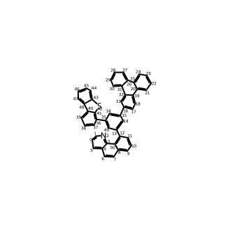 c1cnc2c(c1)ccc1cccc(-c3cc(-c4ccc5c6ccccc6c6ccccc6c5c4)cc(-c4cccc5c4sc4ccccc45)c3)c12